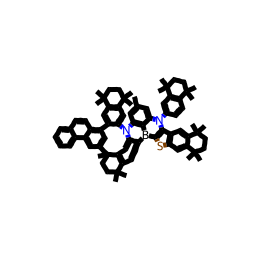 Cc1cc2c3c(c1)N(c1ccc4c(c1)C(C)(C)CCC4(C)C)c1c(sc4cc5c(cc14)C(C)(C)CCC5(C)C)B3c1cc3c4cc1N2c1cc2c(cc1-c1cc(cc5c1ccc1ccccc15)C4(C)CCC3(C)C)C(C)(C)CCC2(C)C